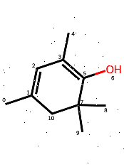 CC1=CC(C)=C(O)C(C)(C)C1